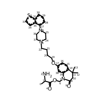 CC(N)C(=O)OCN1C(=O)CC(C)(C)c2ccc(OCCCCN3CCN(c4cccc5sccc45)CC3)cc21